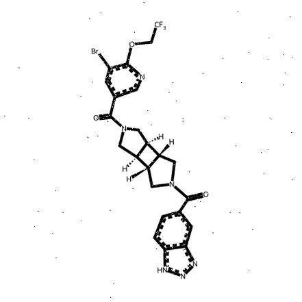 O=C(c1cnc(OCC(F)(F)F)c(Br)c1)N1C[C@@H]2[C@H](C1)[C@H]1CN(C(=O)c3ccc4[nH]nnc4c3)C[C@@H]21